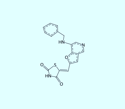 O=C1NC(=O)C(=Cc2cc3cncc(NCc4ccccc4)c3o2)S1